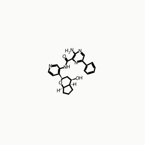 Nc1ncc(-c2ccccc2)nc1C(=O)Nc1cnccc1[C@H]1C[C@@H](O)[C@H]2CCC[C@H]2O1